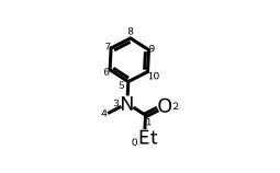 CCC(=O)N(C)c1c[c]ccc1